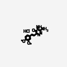 COc1ccc(C=Cc2nnc(N)n(N)c2=O)cc1OC.Cl